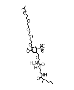 CCCCC(C)C(=O)NCCNC(=O)C(N)COCc1cc(OC)c(OCCOCCOCCOCCOCC(C)C)cc1[N+](=O)[O-]